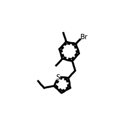 CCc1ccc(Cc2cc(Br)c(C)cc2C)s1